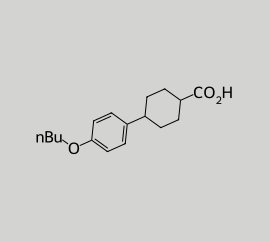 CCCCOc1ccc(C2CCC(C(=O)O)CC2)cc1